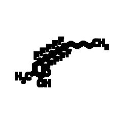 CCCCCC(F)(F)C(F)(F)C(F)(F)C(F)(F)C(F)(F)C=C(C)C(=O)O